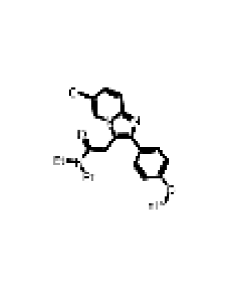 CCCOc1ccc(-c2nc3ccc(Cl)cn3c2CC(=O)N(CC)CC)cc1